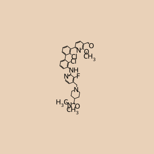 COc1nc(-c2cccc(-c3cccc(Nc4nccc(CN5CCC(C(=O)N(C)C)CC5)c4F)c3Cl)c2Cl)ccc1C=O